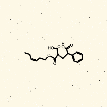 CC/C=C\CCOC(=O)C(CC(C(=O)O)c1ccccc1)C(=O)O